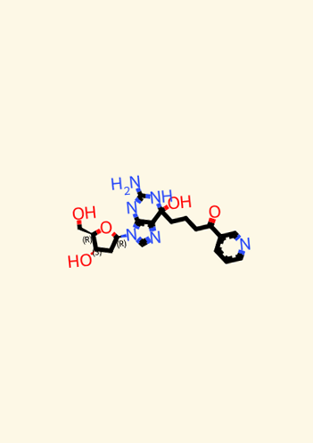 NC1=Nc2c(ncn2[C@H]2C[C@H](O)[C@@H](CO)O2)C(O)(CCCC(=O)c2cccnc2)N1